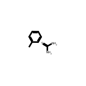 Cc1ccccc1.NC(N)=S